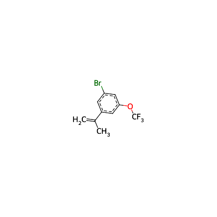 C=C(C)c1cc(Br)cc(OC(F)(F)F)c1